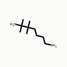 CC(C)(N)C(C)(C)CCCCN